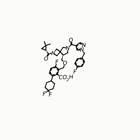 CC1(C)C[C@@H]1C(=O)N1CC2(CN(C(=O)c3cnn(Cc4ccc(F)cc4)c3)C[C@H]2COCc2c(F)ccc(C3CCC(F)(F)CC3)c2C(=O)O)C1